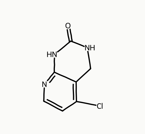 O=C1NCc2c(Cl)ccnc2N1